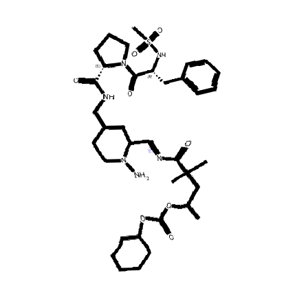 CC(CC(C)(C)C(=O)/N=C/C1CC(CNC(=O)[C@@H]2CCCN2C(=O)[C@@H](Cc2ccccc2)NS(C)(=O)=O)CCN1N)OC(=O)OC1CCCCC1